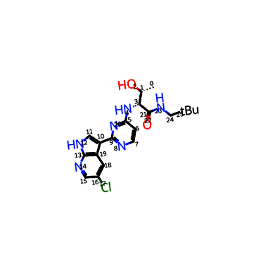 C[C@@H](O)[C@@H](Nc1ccnc(-c2c[nH]c3ncc(Cl)cc23)n1)C(=O)NCC(C)(C)C